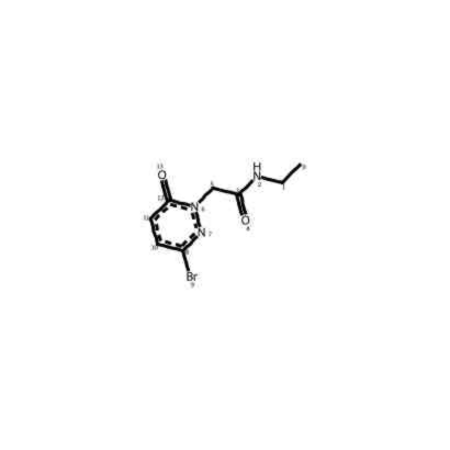 CCNC(=O)Cn1nc(Br)ccc1=O